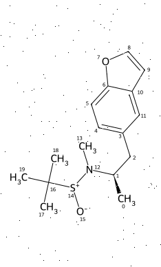 C[C@H](Cc1ccc2occc2c1)N(C)[S+]([O-])C(C)(C)C